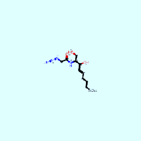 CCCCCCCCCCCCCC=CC(O)C(CO)NC(=O)CN=[N+]=[N-]